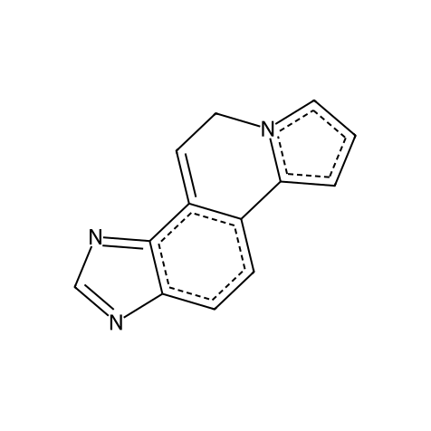 C1=Nc2ccc3c(c2=N1)=CCn1cccc1-3